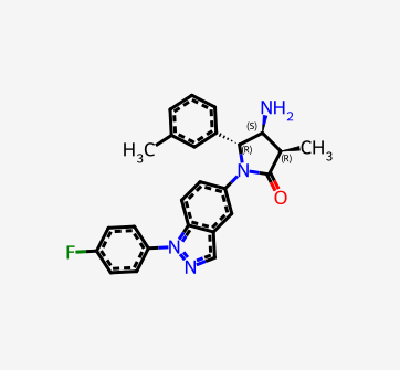 Cc1cccc([C@@H]2[C@@H](N)[C@@H](C)C(=O)N2c2ccc3c(cnn3-c3ccc(F)cc3)c2)c1